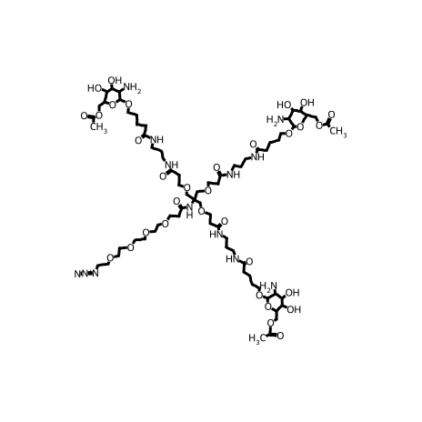 CC(=O)OCC1OC(OCCCCC(=O)NCCCNC(=O)CCOCC(COCCC(=O)NCCCNC(=O)CCCCOC2OC(COC(C)=O)C(O)C(O)C2N)(COCCC(=O)NCCCNC(=O)CCCCOC2OC(COC(C)=O)C(O)C(O)C2N)NC(=O)CCOCCOCCOCCOCCN=[N+]=[N-])C(N)C(O)C1O